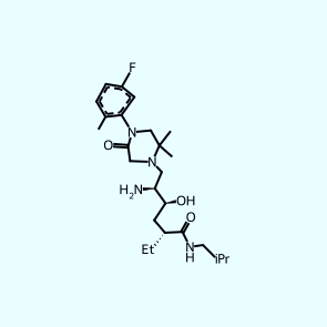 CC[C@H](C[C@H](O)[C@@H](N)CN1CC(=O)N(c2cc(F)ccc2C)CC1(C)C)C(=O)NCC(C)C